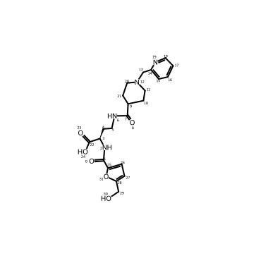 O=C(N[C@H](CCNC(=O)C1CCN(Cc2ccccn2)CC1)C(=O)O)c1ccc(CO)o1